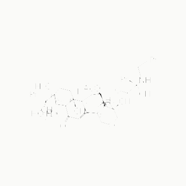 CC(=O)O[C@@H]1C[C@@]23COC[C@](C)([C@@H]2CC[C@H]2C3=CC(=O)[C@@]3(C)[C@H](C(=O)O)[C@@](C)([C@H](C)C(C)C)CC[C@]23C)[C@H]1OC[C@@](C)(NCC(C)C)C(C)C